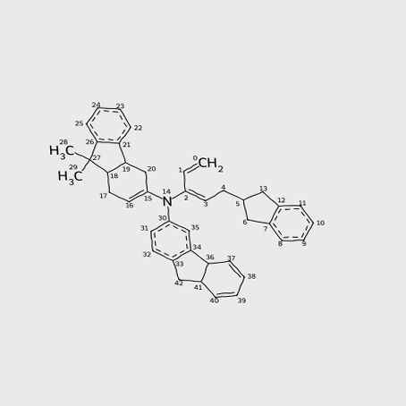 C=C/C(=C\CC1Cc2ccccc2C1)N(C1=CCC2C(C1)c1ccccc1C2(C)C)c1ccc2c(c1)C1C=CC=CC1C2